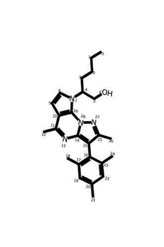 CCCCC(CO)n1ccc2c(C)nc3c(-c4c(C)cc(C)cc4C)c(C)nn3c21